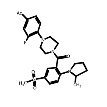 CC(=O)c1ccc(N2CCN(C(=O)c3cc(S(C)(=O)=O)ccc3N3CCCC3C)CC2)c(F)c1